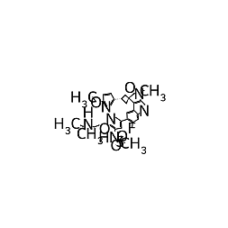 COc1ccc([C@H]2C[C@@]3(C2)C(=O)N(C)c2cnc4cc(F)c(-c5cnc(OCCNC(C)C)c(NS(C)(=O)=O)c5)cc4c23)cn1